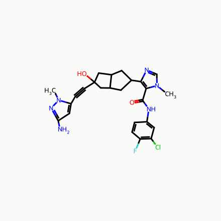 Cn1cnc(C2CC3CC(O)(C#Cc4cc(N)nn4C)CC3C2)c1C(=O)Nc1ccc(F)c(Cl)c1